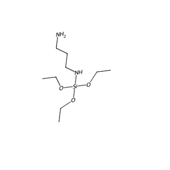 CCO[Si](NCCCN)(OCC)OCC